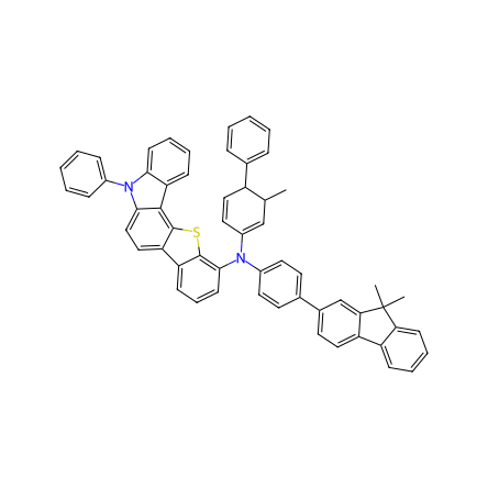 CC1C=C(N(c2ccc(-c3ccc4c(c3)C(C)(C)c3ccccc3-4)cc2)c2cccc3c2sc2c3ccc3c2c2ccccc2n3-c2ccccc2)C=CC1c1ccccc1